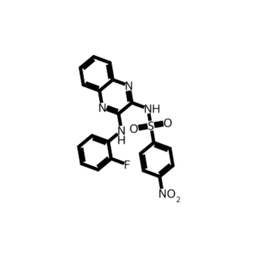 O=[N+]([O-])c1ccc(S(=O)(=O)Nc2nc3ccccc3nc2Nc2ccccc2F)cc1